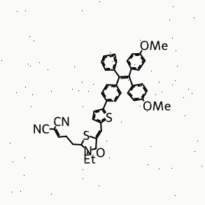 CCN1C(=O)C(=Cc2ccc(-c3ccc(C(=C(c4ccc(OC)cc4)c4ccc(OC)cc4)c4ccccc4)cc3)s2)SC1CCC=C(C#N)C#N